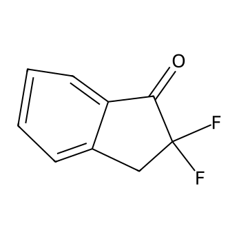 O=C1c2ccccc2CC1(F)F